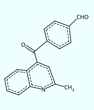 Cc1cc(C(=O)c2ccc([C]=O)cc2)c2ccccc2n1